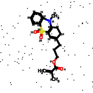 C=C(C)C(=O)OCCCC1=CC2=C(CC1)N(C)c1ccccc1S2(=O)=O